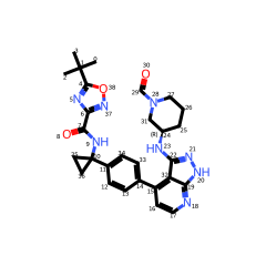 CC(C)(C)c1nc(C(=O)NC2(c3ccc(-c4ccnc5[nH]nc(N[C@@H]6CCCN(C=O)C6)c45)cc3)CC2)no1